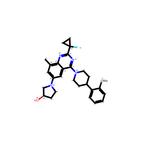 COc1ccccc1C1CCN(c2nc(C3(F)CC3)nc3c(C)cc(N4CC[C@@H](O)C4)cc23)CC1